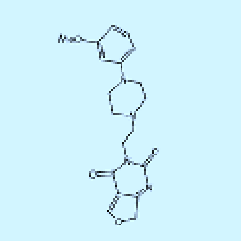 COc1cccc(N2CCN(CCN3C(=O)N=C4COC=C4C3=O)CC2)c1